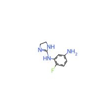 Nc1ccc(F)c(NC2=NCCN2)c1